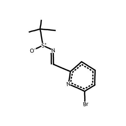 CC(C)(C)[S+]([O-])N=Cc1cccc(Br)n1